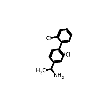 CC(N)c1ccc(-c2ccccc2Cl)cc1.Cl